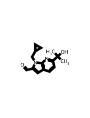 CC(C)(O)c1ccc2cc([C]=O)n(CC3CC3)c2n1